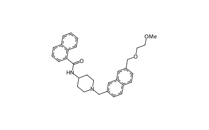 COCCOCc1ccc2ccc(CN3CCC(NC(=O)c4cccc5ccccc45)CC3)cc2c1